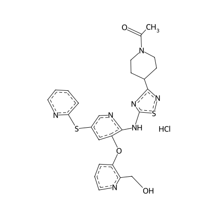 CC(=O)N1CCC(c2nsc(Nc3ncc(Sc4ccccn4)cc3Oc3cccnc3CO)n2)CC1.Cl